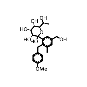 COc1ccc(Cc2c(C)cc(CO)cc2[C@@]2(O)O[C@H]([C@H](C)O)[C@@H](O)[C@H](O)[C@H]2O)cc1